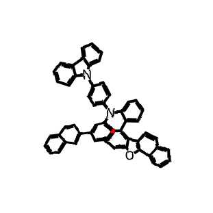 c1cc(-c2ccc3ccccc3c2)cc(N(c2ccc(-n3c4ccccc4c4ccccc43)cc2)c2ccccc2-c2cccc3oc4c5ccccc5ccc4c23)c1